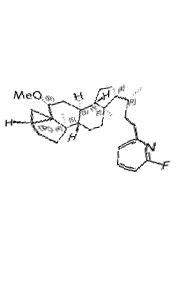 CO[C@@H]1C[C@H]2[C@@H]3CC[C@H]([C@H](C)CCc4cccc(F)n4)[C@@]3(C)CC[C@@H]2[C@@]2(C)CC[C@@H]3CC312